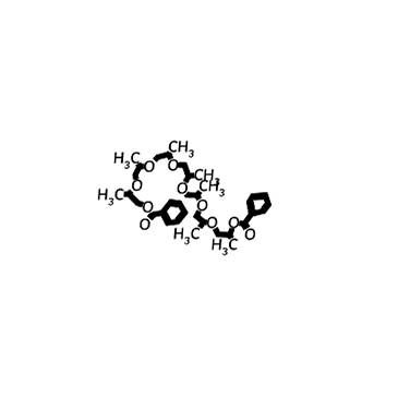 CC(COC(=O)c1ccccc1)OCC(C)OCC(C)OCC(C)OCC(C)OCC(C)OCC(C)OC(=O)c1ccccc1